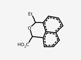 CCC1OC(C(=O)O)c2cccc3cccc1c23